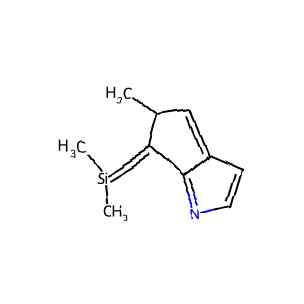 CC1C=C2C=CN=C2C1=[Si](C)C